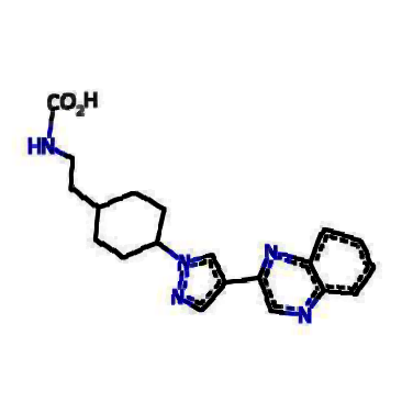 O=C(O)NCCC1CCC(n2cc(-c3cnc4ccccc4n3)cn2)CC1